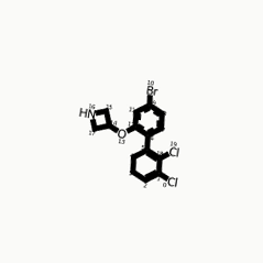 ClC1=CC[CH]C(c2ccc(Br)cc2OC2CNC2)=C1Cl